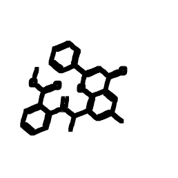 COC(=O)c1ccccc1NC(C)c1cc(C)cc2c(=O)cc(-c3ccccc3)oc12